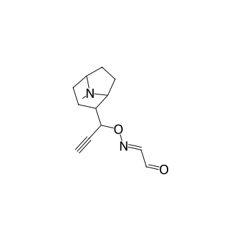 C#CC(ON=CC=O)C1CCC2CCC1N2C